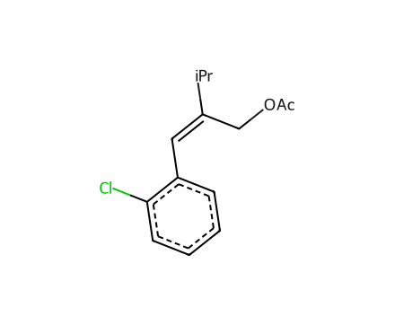 CC(=O)OCC(=Cc1ccccc1Cl)C(C)C